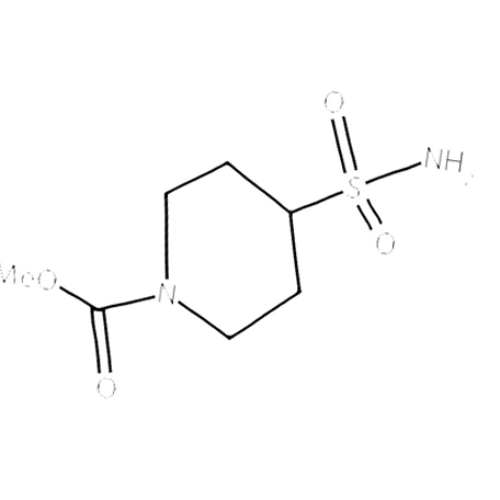 COC(=O)N1CCC(S(N)(=O)=O)CC1